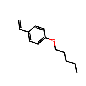 [CH]=Cc1ccc(OCCCCC)cc1